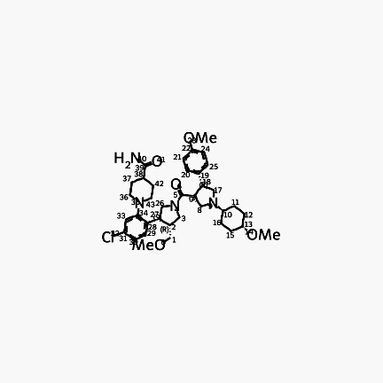 COC[C@H]1CN(C(=O)[C@@H]2CN([C@H]3CC[C@H](OC)CC3)C[C@H]2c2ccc(OC)cc2)C[C@@H]1c1ccc(Cl)cc1N1CCC(C(N)=O)CC1